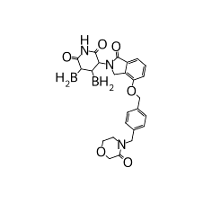 BC1C(=O)NC(=O)C(N2Cc3c(OCc4ccc(CN5CCOCC5=O)cc4)cccc3C2=O)C1B